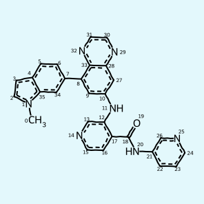 Cn1ccc2ccc(-c3cc(Nc4cnccc4C(=O)Nc4cccnc4)cc4nccnc34)cc21